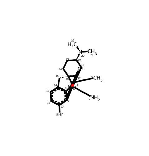 CN1C(=O)C2(N=C1N)c1cc(Br)ccc1C[C@]21CC[C@H](N(C)C)CC1